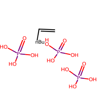 C=CCCCC.O=P(O)(O)O.O=P(O)(O)O.O=P(O)(O)O